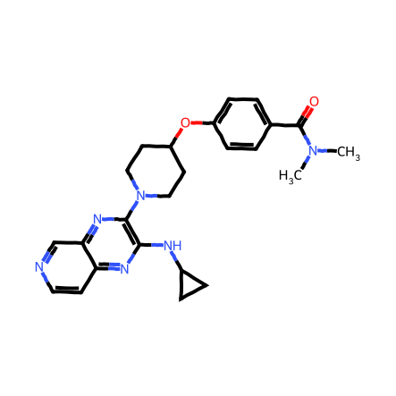 CN(C)C(=O)c1ccc(OC2CCN(c3nc4cnccc4nc3NC3CC3)CC2)cc1